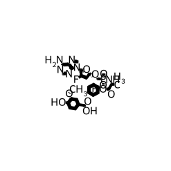 CC(NP(=O)(CO[C@@H]1C=C(F)[C@H](n2cnc3c(N)ncnc32)O1)Oc1ccccc1)C(=O)O.COc1cc(C(=O)O)ccc1O